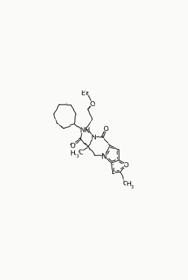 CCOCCCN1C(=O)c2cc3oc(C)cc3n2CC1(C)C(=O)NC1CCCCCC1